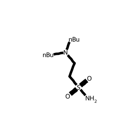 CCCCN(CCCC)CCS(N)(=O)=O